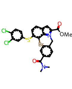 COC(=O)c1cc2ccc(Sc3ccc(Cl)c(Cl)c3)c(Br)c2n1Cc1ccc(C(=O)N(C)C)cc1